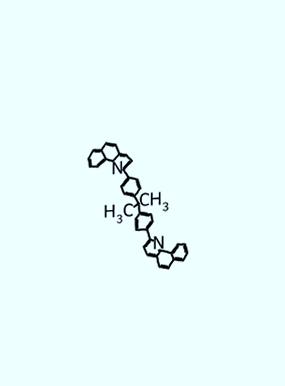 CC(C)(c1ccc(-c2ccc3ccc4ccccc4c3n2)cc1)c1ccc(-c2ccc3ccc4ccccc4c3n2)cc1